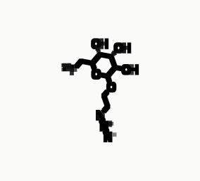 [N-]=[N+]=NCCOC1OC(C[18F])[C@H](O)[C@H](O)C1O